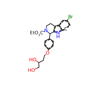 CCOC(=O)N1CCc2c([nH]c3ccc(Br)cc23)C1c1ccc(OCC[C@H](O)CO)cc1